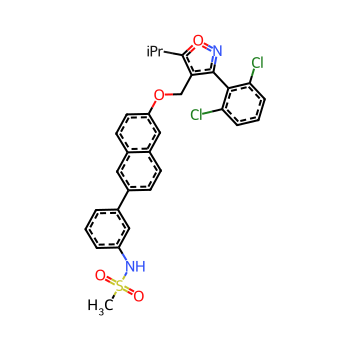 CC(C)c1onc(-c2c(Cl)cccc2Cl)c1COc1ccc2cc(-c3cccc(NS(C)(=O)=O)c3)ccc2c1